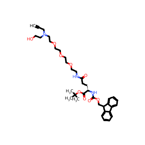 C#CCN(CCO)CCOCCOCCOCCNC(=O)CC[C@H](NC(=O)OCC1c2ccccc2-c2ccccc21)C(=O)OC(C)(C)C